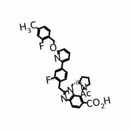 CC(=O)N1CCC[C@H]1Cn1c(Cc2ccc(-c3cccc(OCc4ccc(C)cc4F)n3)cc2F)nc2ccc(C(=O)O)cc21